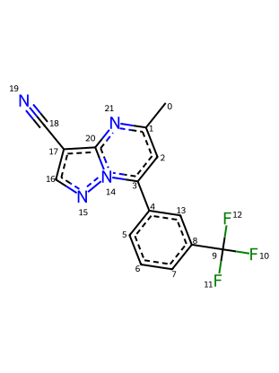 Cc1cc(-c2cccc(C(F)(F)F)c2)n2ncc(C#N)c2n1